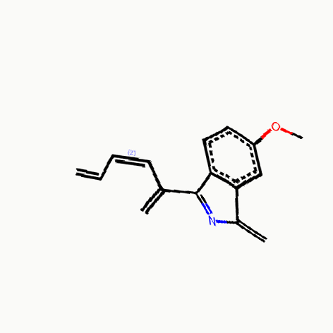 C=C/C=C\C(=C)C1=NC(=C)c2cc(OC)ccc21